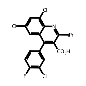 CC(C)c1nc2c(Cl)cc(Cl)cc2c(-c2ccc(F)c(Cl)c2)c1C(=O)O